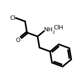 Cl.NC(Cc1ccccc1)C(=O)CCl